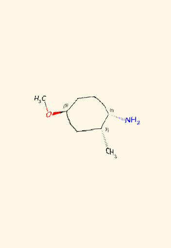 CO[C@H]1CC[C@H](N)[C@H](C)C1